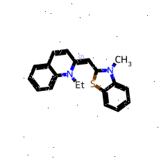 CCN1/C(=C\C2Sc3ccccc3N2C)C=Cc2ccccc21